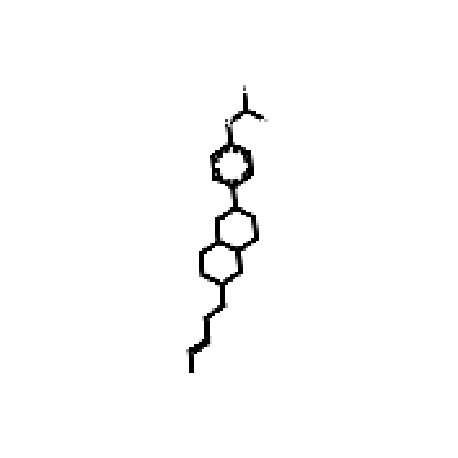 CC=CCCC1CCC2CC(c3ccc(OC(F)F)cc3)CCC2C1